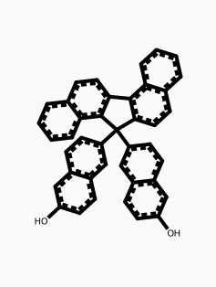 Oc1ccc2cc(C3(c4ccc5cc(O)ccc5c4)c4ccc5ccccc5c4-c4ccc5ccccc5c43)ccc2c1